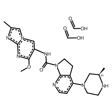 COc1nc2nc(C)cn2cc1NC(=O)N1CCc2c(N3CCN[C@H](C)C3)ccnc21.O=CO.O=CO